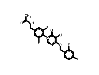 CC(=O)NCc1cc(F)c(-n2cnc(OCc3ccc(F)cc3F)c(Cl)c2=O)c(F)c1